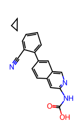 C1CC1.N#Cc1ccccc1-c1ccc2cc(NC(=O)O)ncc2c1